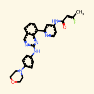 CC(F)=CC(=O)Nc1ccnc(-c2cccc3cnc(Nc4ccc(N5CCOCC5)cc4)nc23)c1